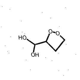 OC(O)C1CCOO1